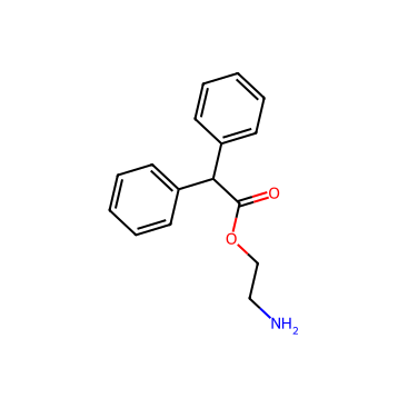 NCCOC(=O)C(c1ccccc1)c1ccccc1